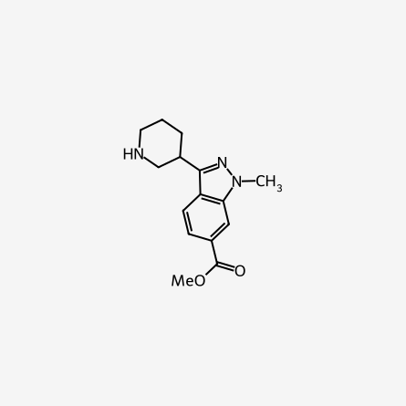 COC(=O)c1ccc2c(C3CCCNC3)nn(C)c2c1